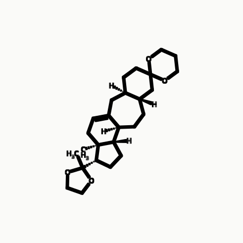 CC1([C@H]2CC[C@H]3[C@@H]4CC[C@H]5CC6(CC[C@@H]5CC4=CC[C@]23C)OCCCO6)OCCO1